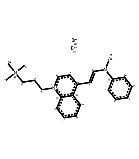 CC(=O)N(/C=C/c1cc[n+](CCC[N+](C)(C)C)c2ccccc12)c1ccccc1.[Br-].[Br-]